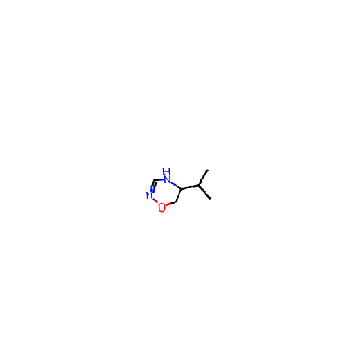 CC(C)C1CON=CN1